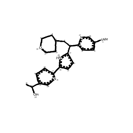 CSc1ccc(C(CC2CCOCC2)c2ccc(-c3ccc(C(C)O)cn3)[nH]2)nc1